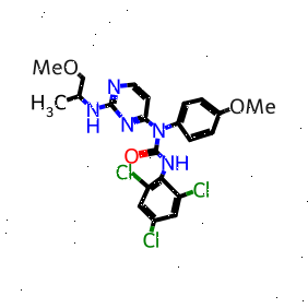 COCC(C)Nc1nccc(N(C(=O)Nc2c(Cl)cc(Cl)cc2Cl)c2ccc(OC)cc2)n1